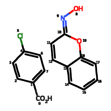 O=C(O)c1ccc(Cl)cc1.ON=c1ccc2ccccc2o1